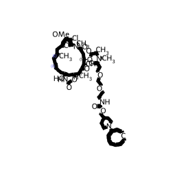 COc1cc2cc(c1Cl)N(C)C(=O)C[C@H](OC(=O)[C@@H](C)N(C)C(=O)CCOCCOCCNC(=O)OCC1CCN(c3ccccccccc3)CC1)[C@]1(C)OC1[C@H](C)[C@@H]1C[C@](O)(C/C=C/C=C(\C)C2)NC(=O)O1